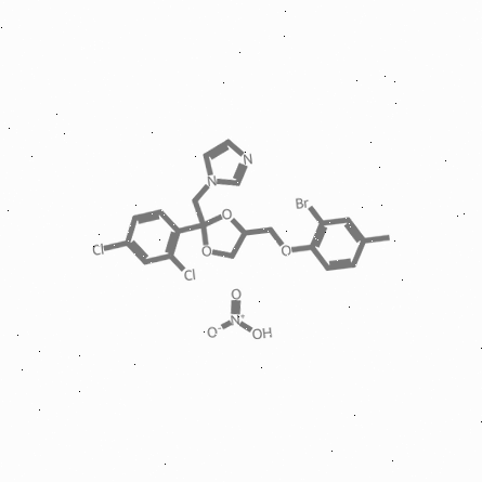 Cc1ccc(OCC2COC(Cn3ccnc3)(c3ccc(Cl)cc3Cl)O2)c(Br)c1.O=[N+]([O-])O